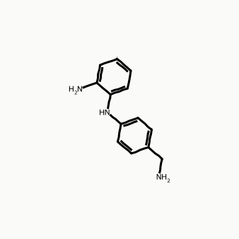 NCc1ccc(Nc2cc[c]cc2N)cc1